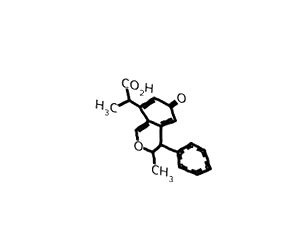 CC(C(=O)O)C1=CC(=O)C=C2C1=COC(C)C2c1ccccc1